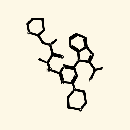 C[C@H](Nc1nc(N2CCOCC2)cc(-n2c(C(F)F)nc3ccccc32)n1)C(=O)N(C)CC1CCCCO1